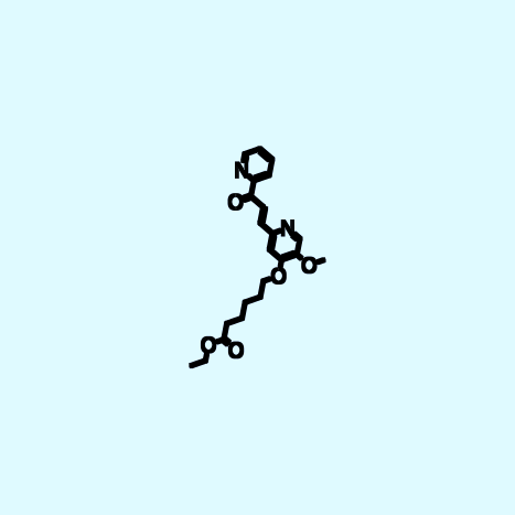 CCOC(=O)CCCCCOc1cc(C=CC(=O)c2ccccn2)ncc1OC